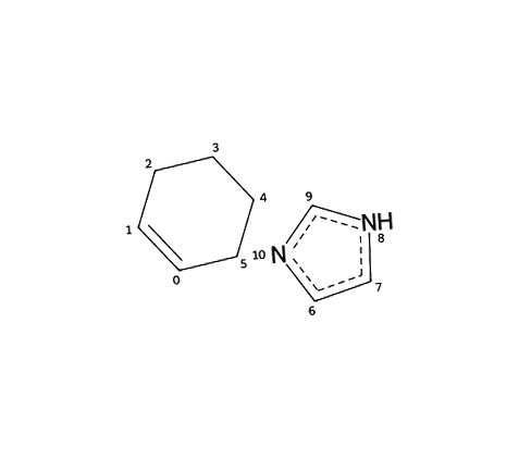 C1=CCCCC1.c1c[nH]cn1